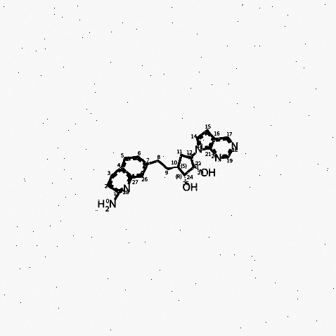 Nc1ccc2ccc(CC[C@H]3C[C@@H](n4ccc5cncnc54)[C@H](O)[C@@H]3O)cc2n1